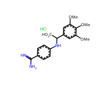 COc1cc(C(Nc2ccc(C(=N)N)cc2)C(=O)O)cc(OC)c1OC.Cl